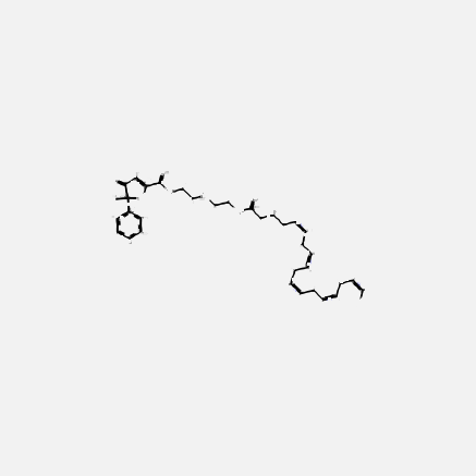 CC/C=C\C/C=C\C/C=C\C/C=C\C/C=C\CCCC(=O)NCCNCCNC(=O)C1=CC(=O)C(C)(c2ccccc2)O1